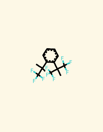 CC(C)(c1ccccc1C(C)(C(F)(F)F)C(F)(F)F)C(F)(F)F